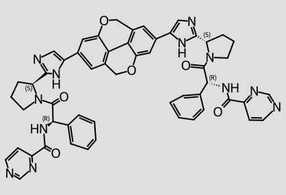 O=C(N[C@@H](C(=O)N1CCC[C@H]1c1ncc(-c2cc3c4c(c2)OCc2cc(-c5cnc([C@@H]6CCCN6C(=O)[C@H](NC(=O)c6ccncn6)c6ccccc6)[nH]5)cc(c2-4)OC3)[nH]1)c1ccccc1)c1ccncn1